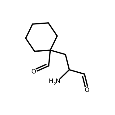 NC(C=O)CC1(C=O)CCCCC1